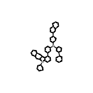 c1ccc(-c2cccc(N(c3ccc(-c4ccc5ccccc5c4)cc3)c3cccc(-c4cccc5c4c4cc6ccccc6cc4n5-c4ccccc4)c3)c2)cc1